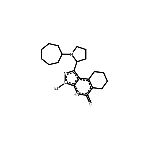 CCn1nc(C2CCCN2C2CCCCCC2)c2c3c(c(=O)[nH]c21)CCCC3